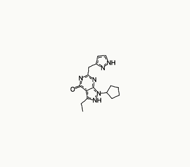 CCc1[nH]n(C2CCCC2)c2nc(Cc3cc[nH]n3)nc(=O)c1-2